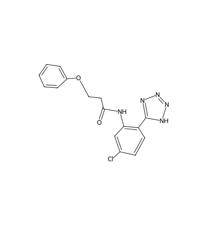 O=C(CCOc1ccccc1)Nc1cc(Cl)ccc1-c1nnn[nH]1